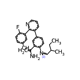 C=C(N)c1cc(-c2cccnc2-c2cc(C)ccc2F)ccc1/N=C\C(C)CC